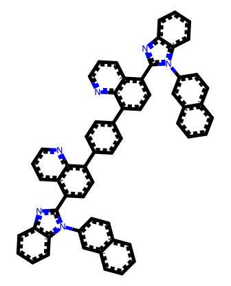 c1ccc2cc(-n3c(-c4ccc(-c5ccc(-c6ccc(-c7nc8ccccc8n7-c7ccc8ccccc8c7)c7cccnc67)cc5)c5ncccc45)nc4ccccc43)ccc2c1